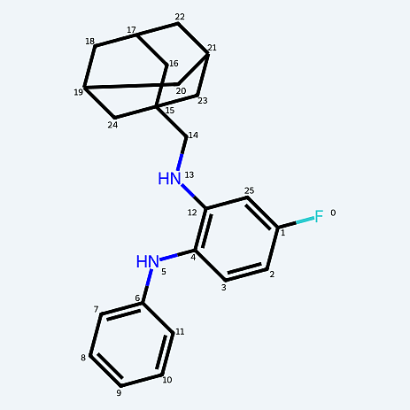 Fc1ccc(Nc2ccccc2)c(NCC23CC4CC(CC(C4)C2)C3)c1